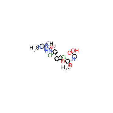 COc1cc(OC2CCc3c(-c4cccc(NC(=O)c5nc6c(n5C)CCN(C)C6)c4Cl)cccc32)c(Cl)cc1CN1CCCC(C(=O)O)C1